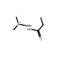 CCC(=O)O.CNN(C)C